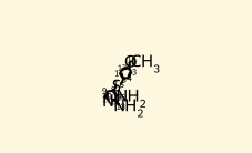 COc1ccc(CSc2ccnc(N)c2N)cc1